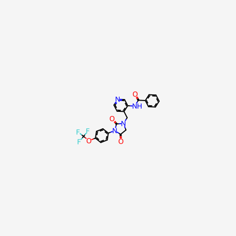 O=C(Nc1cnccc1CN1CC(=O)N(c2ccc(OC(F)(F)F)cc2)C1=O)c1ccccc1